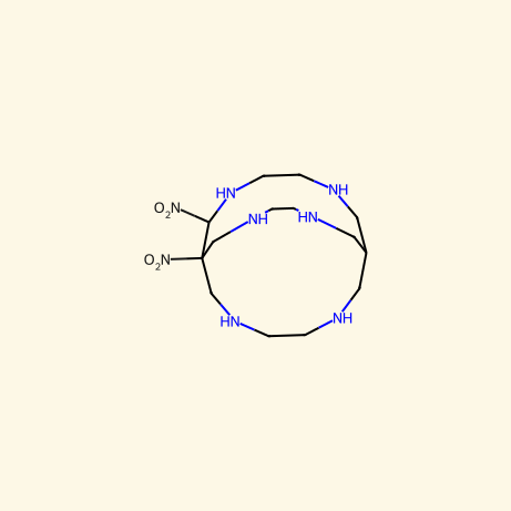 O=[N+]([O-])C1NCCNCC2CNCCNCC1([N+](=O)[O-])CNCCNC2